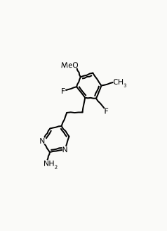 COc1cc(C)c(F)c(CCc2cnc(N)nc2)c1F